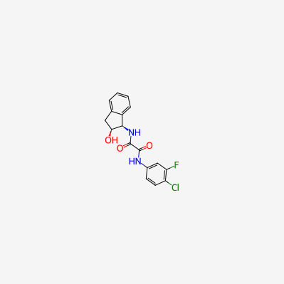 O=C(Nc1ccc(Cl)c(F)c1)C(=O)N[C@@H]1c2ccccc2C[C@@H]1O